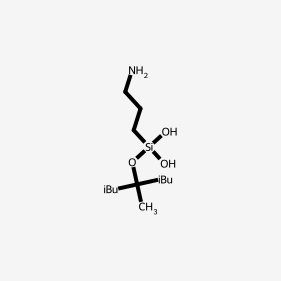 CCC(C)C(C)(O[Si](O)(O)CCCN)C(C)CC